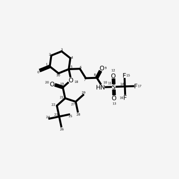 C=C1CCCC(CCC(=O)NS(=O)(=O)C(F)(F)F)(OC(=O)C(CC(C)(C)C)C(C)C)C1